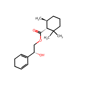 C[C@H]1CCCC(C)(C)[C@@H]1C(=O)OC[C@H](O)C1=CCCC=C1